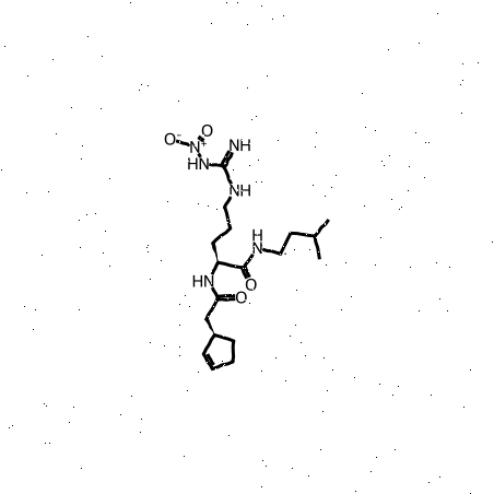 CC(C)C[CH]NC(=O)[C@H](CCCNC(=N)N[N+](=O)[O-])NC(=O)C[C@@H]1C=CCC1